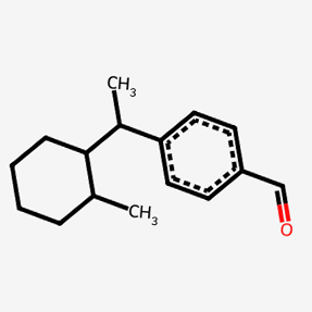 CC1CCCCC1C(C)c1ccc(C=O)cc1